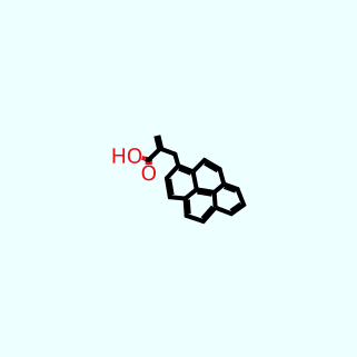 C=C(Cc1ccc2ccc3cccc4ccc1c2c34)C(=O)O